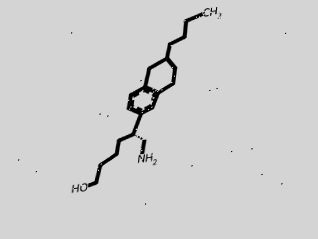 CCCCC1CCc2cc([C@H](CN)CCCCO)ccc2C1